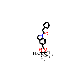 CC1(C)OB(c2ccc3c(c2)CCN3C(=O)Cc2ccccc2)OC1(C)C